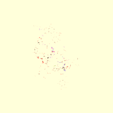 CN[C@H](CC(C)C)C(=O)N[C@H]1C(=O)N[C@@H](CC(N)=O)C(=O)N[C@H]2C(=O)N[C@H]3C(=O)N[C@H](C(=O)N[C@@H](C(=O)NOC)c4cc(O)cc(O)c4-c4cc3ccc4O)[C@H](O)c3ccc(c(Cl)c3)Oc3cc2cc(c3O[C@@H]2O[C@H](CO)[C@@H](O)[C@H](O)[C@H]2O[C@H]2C[C@](C)(NCCn3ccc(NC(=O)Cc4ccc(Cl)c(Cl)c4)nc3=O)[C@H](O)[C@H](C)O2)Oc2ccc(cc2Cl)[C@H]1O